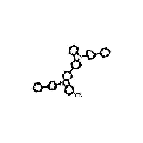 N#Cc1ccc2c(c1)c1cc(-c3ccc4c(c3)c3ccccc3n4C3=CC=C(c4ccccc4)CC3)ccc1n2-c1ccc(-c2ccccc2)cc1